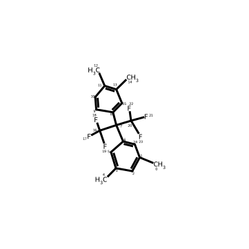 Cc1cc(C)cc(C(c2ccc(C)c(C)c2)(C(F)(F)F)C(F)(F)F)c1